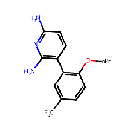 CCCOc1ccc(C(F)(F)F)cc1-c1ccc(N)nc1N